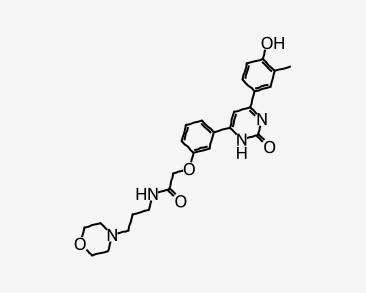 Cc1cc(-c2cc(-c3cccc(OCC(=O)NCCCN4CCOCC4)c3)[nH]c(=O)n2)ccc1O